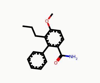 CCCc1c(OC)ccc(C(N)=O)c1-c1ccccc1